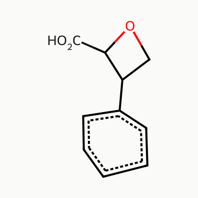 O=C(O)C1OCC1c1ccccc1